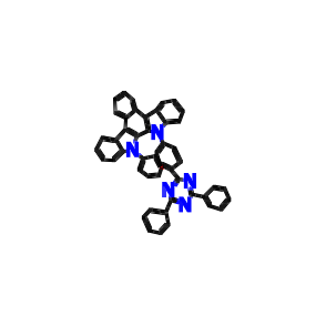 c1ccc(-c2nc(-c3ccccc3)nc(-c3ccc(-n4c5ccccc5c5c6ccccc6c6c7ccccc7n(-c7ccccc7)c6c54)cc3)n2)cc1